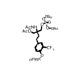 CCCCCCCOc1ccc(CCC(COC(C)=O)(COP(=O)(OC(C)(C)C)OC(C)(C)C)NC(C)=O)cc1C(F)(F)F